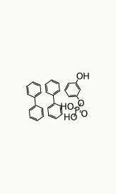 O=P(O)(O)Oc1cccc(O)c1.c1ccc(-c2ccccc2)cc1.c1ccc(-c2ccccc2)cc1